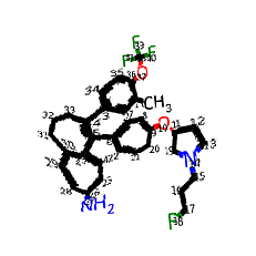 Cc1cc(C2=C(C3=CC=C(O[C@H]4CCN(CCCF)C4)CC=C3)C3=CC=C(N)C=CC3CCC2)ccc1OC(F)(F)F